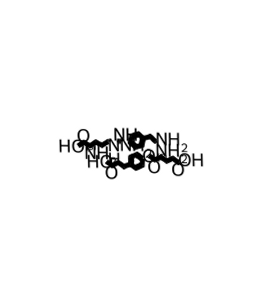 N=C(N)NCCC[C@H](N)C(=O)O.NCCc1ccccc1.N[C@@H](CCC(=O)O)C(=O)Oc1ccc(CCC(=O)O)cc1